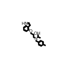 Cc1ccc(CN(CC(O)COc2cccc3[nH]ccc23)C(C)C)cc1